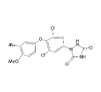 CCC(C)c1cc(Oc2c(Cl)cc(-n3[nH]c(=O)[nH]c3=O)cc2Cl)ccc1OC